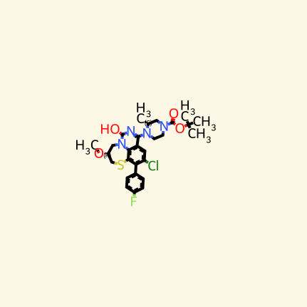 CO[C@H]1CSc2c(-c3ccc(F)cc3)c(Cl)cc3c2N(C1)C(O)N=C3N1CCN(C(=O)OC(C)(C)C)C[C@@H]1C